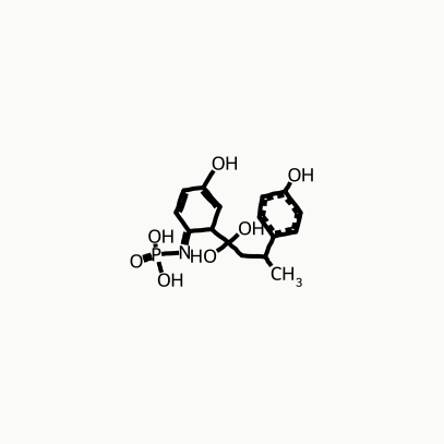 CC(CC(O)(O)C1C=C(O)C=CC1=NP(=O)(O)O)c1ccc(O)cc1